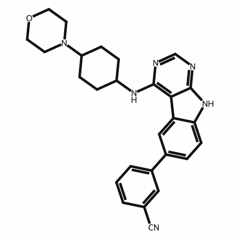 N#Cc1cccc(-c2ccc3[nH]c4ncnc(NC5CCC(N6CCOCC6)CC5)c4c3c2)c1